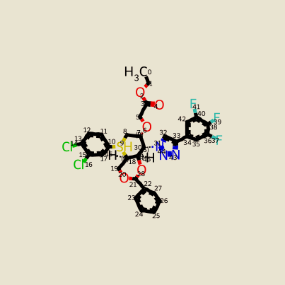 CCOC(=O)CO[C@H]1C[SH](c2ccc(Cl)c(Cl)c2)[C@@H]2COC(c3ccccc3)O[C@@H]2[C@H]1n1cc(-c2cc(F)c(F)c(F)c2)nn1